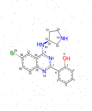 Oc1ccccc1-c1nc(N[C@H]2CCNC2)c2cc(Br)ccc2n1